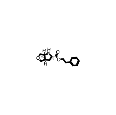 O=C(OCCc1ccccc1)[C@@H]1C[C@H]2COC[C@H]2N1